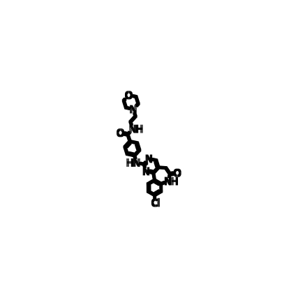 O=C1Cc2cnc(Nc3ccc(C(=O)NCCN4CCOCC4)cc3)nc2-c2ccc(Cl)cc2N1